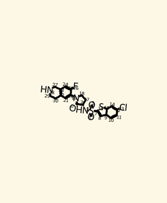 O=C1[C@@H](NS(=O)(=O)C2=CC3C=CC(Cl)=CC3S2)CCN1c1cc2c(cc1F)CNCC2